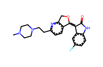 CN1CCN(CCc2ccc3c(n2)CO/C3=C2\C(=O)Nc3ccc(F)cc32)CC1